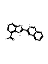 O=C(O)c1cccc2[nH]c(-c3cc4ccccc4cn3)nc12